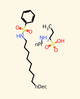 CCCCCCCCCCCCCCCCCCNS(=O)(=O)c1ccccc1.CCCN.CCCS(=O)(=O)O